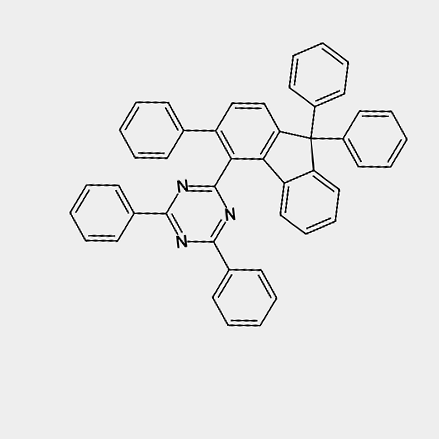 c1ccc(-c2nc(-c3ccccc3)nc(-c3c(-c4ccccc4)ccc4c3-c3ccccc3C4(c3ccccc3)c3ccccc3)n2)cc1